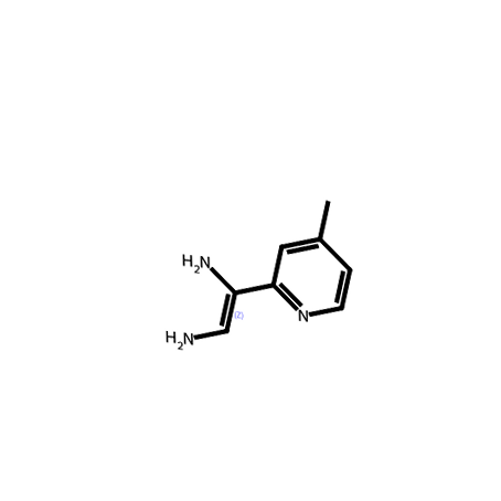 Cc1ccnc(/C(N)=C/N)c1